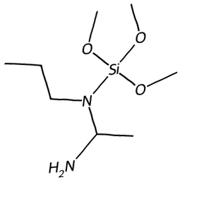 CCCN(C(C)N)[Si](OC)(OC)OC